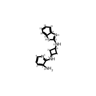 Nc1cccnc1NC1CC(Nc2nc3ccccc3s2)C1